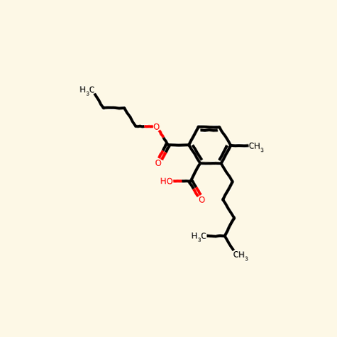 CCCCOC(=O)c1ccc(C)c(CCCC(C)C)c1C(=O)O